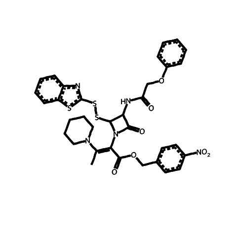 CC(=C(C(=O)OCc1ccc([N+](=O)[O-])cc1)N1C(=O)C(NC(=O)COc2ccccc2)C1SSc1nc2ccccc2s1)N1CCCCC1